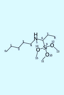 CCCCCNC(CC)[Si](OC)(OC)OC